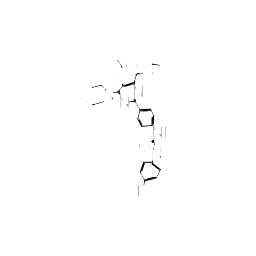 CCOC(=O)c1nc(-c2ccc(NC(=O)Nc3ccc(F)cc3)cc2)nc(N2CCOCC2)c1OCC